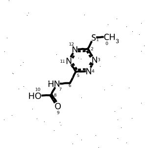 CSc1nnc(CNC(=O)O)nn1